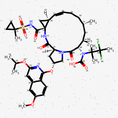 COc1ccc2c(O[C@@H]3C[C@H]4C(=O)N[C@]5(C(=O)NS(=O)(=O)C6(C)CC6)C[C@H]5/C=C\CC[C@H](C)C[C@@H](C)[C@H](N(C(=O)O)C(C)(C)C(C)(F)F)C(=O)N4C3)nc(OC(C)C)cc2c1